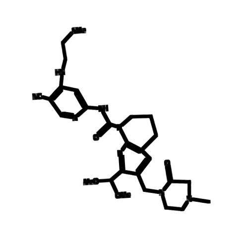 COC(OC)c1nc2c(cc1CN1CCN(C)CC1=O)CCCN2C(=O)Nc1cc(NCCSC)c(C#N)cn1